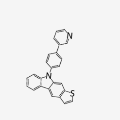 c1cncc(-c2ccc(-n3c4ccccc4c4cc5ccsc5cc43)cc2)c1